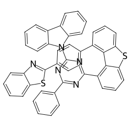 c1ccc(-c2nc(-c3cccc4sc5cccc(-c6ccc(-c7nc8ccccc8s7)cc6)c5c34)nc(-n3c4ccccc4c4ccccc43)n2)cc1